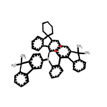 CC1(C)c2ccccc2-c2cc(N(c3ccccc3-c3cccc4c3-c3ccccc3C4(C)C)c3cccc4c3-c3ccccc3C43CCCCC3)ccc21